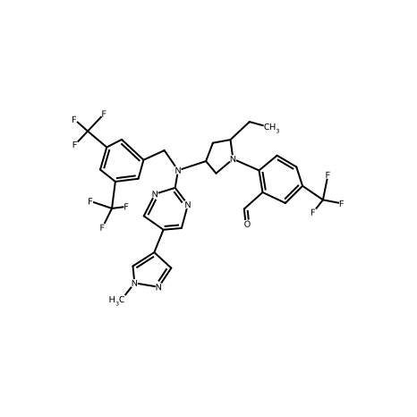 CCC1CC(N(Cc2cc(C(F)(F)F)cc(C(F)(F)F)c2)c2ncc(-c3cnn(C)c3)cn2)CN1c1ccc(C(F)(F)F)cc1C=O